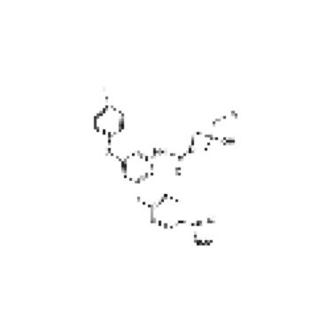 CNC(=O)c1ccc(Oc2cc(NC(=O)N3CC(O)(CC(C)C)C3)cc(Oc3ccc(F)cc3)c2)cc1